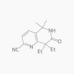 CCC1(CC)C(=O)NC(C)(C)c2ccc(C#N)nc21